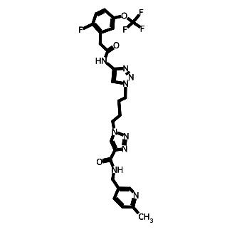 Cc1ccc(CNC(=O)c2cn(CCCCn3cc(NC(=O)Cc4cc(OC(F)(F)F)ccc4F)nn3)nn2)cn1